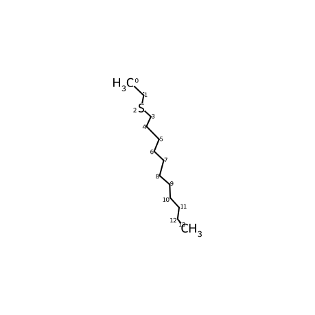 C[CH]SCCCCCCCCCCC